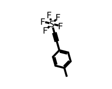 Cc1ccc(C#CS(F)(F)(F)(F)F)cc1